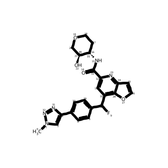 Cn1cc(-c2ccc(C(F)c3cc(C(=O)N[C@H]4CCOC[C@@H]4O)nc4ccoc34)cc2)nn1